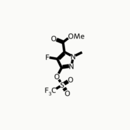 COC(=O)c1c(F)c(OS(=O)(=O)C(F)(F)F)nn1C